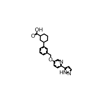 O=C(O)C1CCCC(c2cccc(COc3ccc(-c4ccn[nH]4)nc3)c2)C1